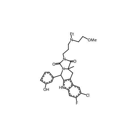 CCN(CCCN1C(=O)N2C(c3cccc(O)c3)c3[nH]c4cc(F)c(Cl)cc4c3CC2(C)C1=O)CCOC